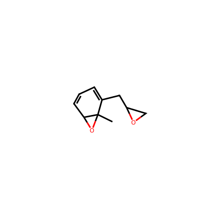 CC12OC1C=CC=C2CC1CO1